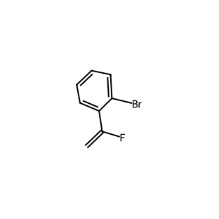 C=C(F)c1ccccc1Br